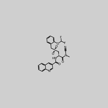 CN(C#N)C(=O)[C@H](CS(=O)(=O)Cc1ccccc1OC(F)F)NC(=O)c1cnc2ccccc2c1